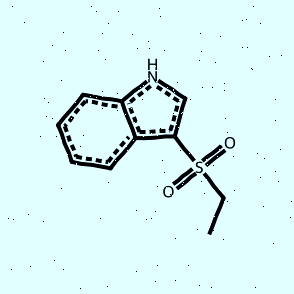 CCS(=O)(=O)c1c[nH]c2ccccc12